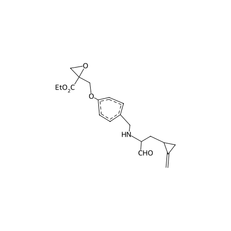 C=C1CC1CC(C=O)NCc1ccc(OCC2(C(=O)OCC)CO2)cc1